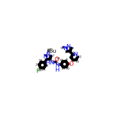 Cn1cc(-c2cc(Oc3ccc(NC(=O)Nc4cn(C(C)(C)C)nc4-c4ccc(F)cc4)cc3)ccn2)cn1